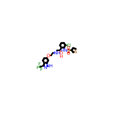 O=S(=O)(Nc1c(Cl)cccc1C(O)CNCCOc1ccc2c(C(F)(F)F)n[nH]c2c1)c1ccsc1